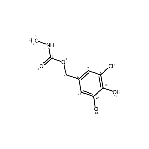 CNC(=O)OCc1cc(Cl)c(O)c(Cl)c1